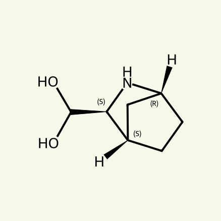 OC(O)[C@H]1N[C@@H]2CC[C@H]1C2